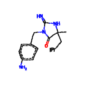 CC(C)CC1(C)NC(=N)N(Cc2ccc(N)cc2)C1=O